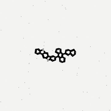 c1ccc2cc(-c3c4ccccc4c(-c4ccc5sc6cc7c(cc6c5c4)sc4ccccc47)c4ccccc34)ccc2c1